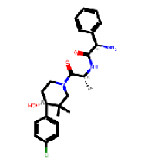 CC(C)[C@@H](NC(=O)[C@H](N)c1ccccc1)C(=O)N1CC[C@](O)(c2ccc(Cl)cc2)C(C)(C)C1